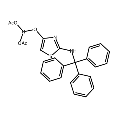 CC(=O)ON(OC(C)=O)Oc1csc(NC(c2ccccc2)(c2ccccc2)c2ccccc2)n1